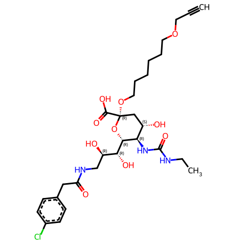 C#CCOCCCCCCO[C@]1(C(=O)O)C[C@H](O)[C@@H](NC(=O)NCC)[C@H]([C@H](O)[C@H](O)CNC(=O)Cc2ccc(Cl)cc2)O1